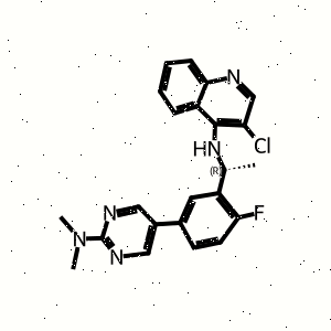 C[C@@H](Nc1c(Cl)cnc2ccccc12)c1cc(-c2cnc(N(C)C)nc2)ccc1F